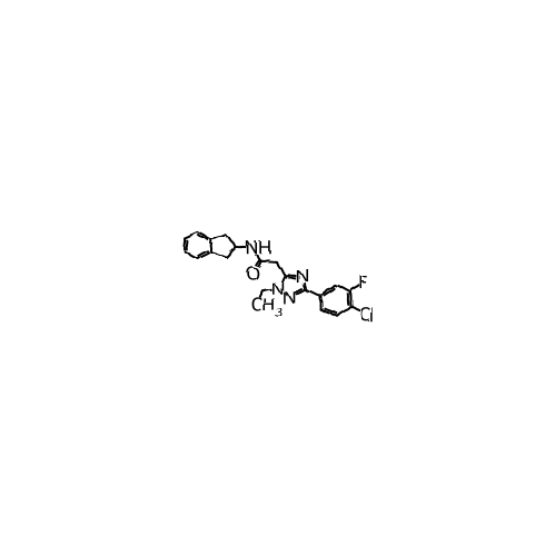 CCn1nc(-c2ccc(Cl)c(F)c2)nc1CC(=O)NC1Cc2ccccc2C1